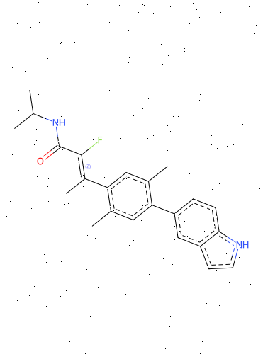 C/C(=C(/F)C(=O)NC(C)C)c1cc(C)c(-c2ccc3[nH]ccc3c2)cc1C